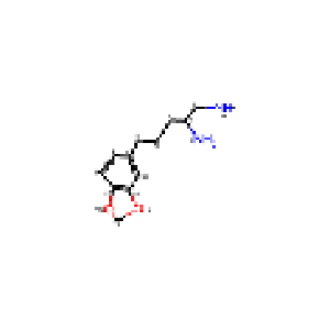 [NH]CC(N)CCCc1ccc2c(c1)OCO2